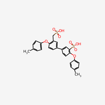 Cc1ccc(Oc2ccc(-c3ccc(Oc4ccc(C)cc4)c(S(=O)(=O)O)c3)cc2CS(=O)(=O)O)cc1